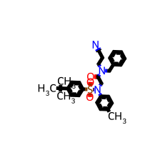 Cc1ccc(N(CC(=O)N(CCC#N)Cc2ccccc2)S(=O)(=O)c2ccc(C(C)(C)C)cc2)cc1